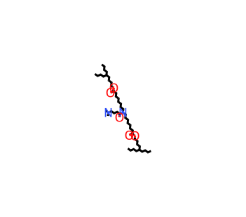 CCCCC(CCCC)CCCCOC(=O)CCCCCCCN(CCCCCCCC(=O)OCCCCC(CCCC)CCCC)C(=O)CCCN(C)C